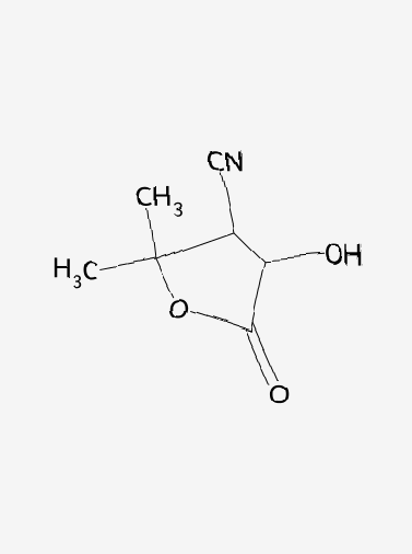 CC1(C)OC(=O)C(O)C1C#N